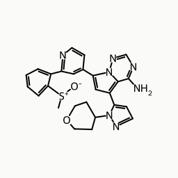 C[S+]([O-])c1ccccc1-c1cc(-c2cc(-c3ccnn3C3CCOCC3)c3c(N)ncnn23)ccn1